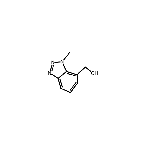 Cn1nnc2cccc(CO)c21